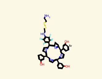 NCCSSCCNc1c(F)c(F)c(C2=C3C=CC(=N3)C(c3cccc(O)c3)=C3C=CC(=N3)C(c3cccc(O)c3)=C3C=CC(=N3)C(c3cccc(O)c3)=C3C=CC2=N3)c(F)c1F.[Ar]